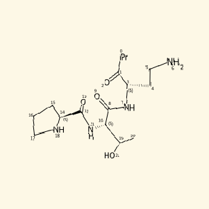 CC(C)C(=O)[C@H](CCN)NC(=O)[C@@H](NC(=O)[C@@H]1CCCN1)C(C)O